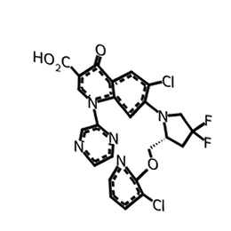 O=C(O)c1cn(-c2cnccn2)c2cc(N3CC(F)(F)C[C@@H]3COc3ncccc3Cl)c(Cl)cc2c1=O